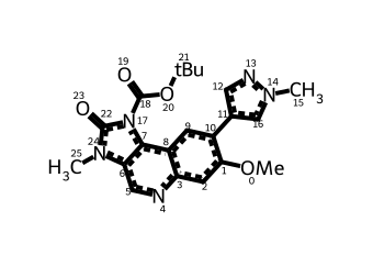 COc1cc2ncc3c(c2cc1-c1cnn(C)c1)n(C(=O)OC(C)(C)C)c(=O)n3C